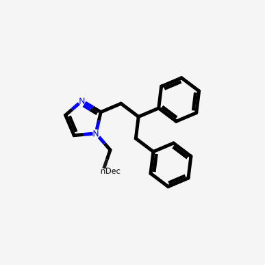 CCCCCCCCCCCn1ccnc1CC(Cc1ccccc1)c1ccccc1